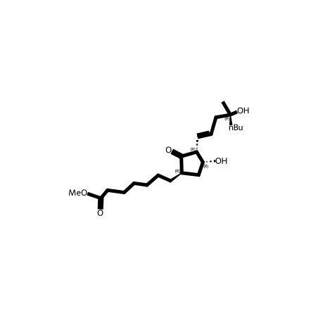 CCCC[C@@](C)(O)CC=C[C@H]1C(=O)[C@H](CCCCCCC(=O)OC)C[C@H]1O